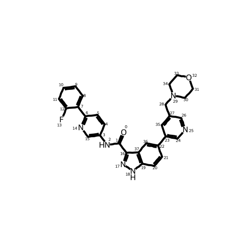 O=C(Nc1ccc(-c2ccccc2F)nc1)c1n[nH]c2ccc(-c3cncc(CN4CCOCC4)c3)cc12